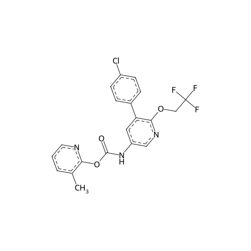 Cc1cccnc1OC(=O)Nc1cnc(OCC(F)(F)F)c(-c2ccc(Cl)cc2)c1